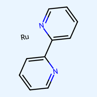 [Ru].c1ccc(-c2ccccn2)nc1